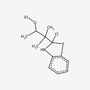 CCOC(C)C(C)(C)C1(Cl)Nc2ccccc2S1